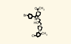 CC(=O)N1CCc2c(c(-c3ccc(Br)cc3)nn2C[C@H](O)CN2CCN(c3cc(Cl)ccc3C)CC2)C1